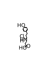 Cl.O=C(O)CCNCCCc1ccc(O)cc1